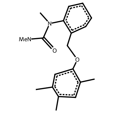 CNC(=O)N(C)c1ccccc1COc1cc(C)c(C)cc1C